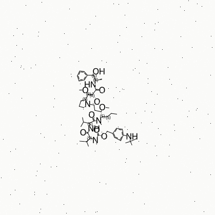 CC[C@H](C)[C@@H](C(CC(=O)N1CCC[C@H]1[C@H](OC)[C@@H](C)C(=O)N[C@H](C)[C@@H](O)c1ccccc1)OC)N(C)C(=O)[C@@H](NC(=O)[C@H](C(C)C)N(C)C(=O)OCc1ccc(NC(C)(C)C)cc1)C(C)C